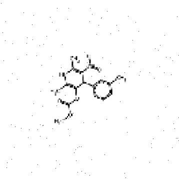 COC(=O)OC1=C(C)NC(C)=C([N+](=O)[O-])C1c1cccc(C)c1